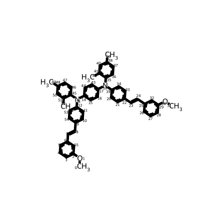 COc1cccc(/C=C/c2ccc(N(c3ccc(N(c4ccc(/C=C/c5cccc(OC)c5)cc4)c4ccc(C)cc4C)cc3)c3ccc(C)cc3C)cc2)c1